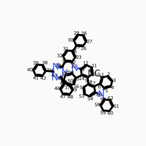 N#Cc1cccc2c1c1c(-c3cccc4c3c3ccccc3n4-c3cc(-c4ccccc4)ccc3-c3nc(-c4ccccc4)nc(-c4ccccc4)n3)cccc1n2C1=CCCC=C1